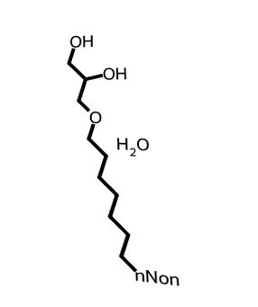 CCCCCCCCCCCCCCCCOCC(O)CO.O